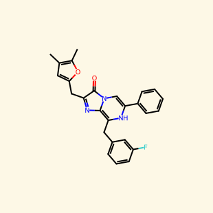 Cc1cc(Cc2nc3c(Cc4cccc(F)c4)[nH]c(-c4ccccc4)cn-3c2=O)oc1C